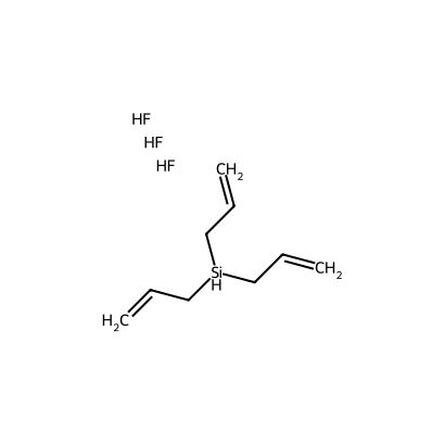 C=CC[SiH](CC=C)CC=C.F.F.F